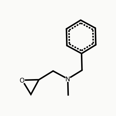 CN(Cc1ccccc1)CC1CO1